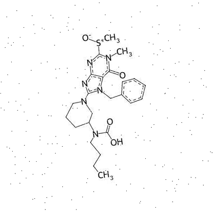 CCCCN(C(=O)O)C1CCCN(c2nc3nc([S+](C)[O-])n(C)c(=O)c3n2Cc2ccccc2)C1